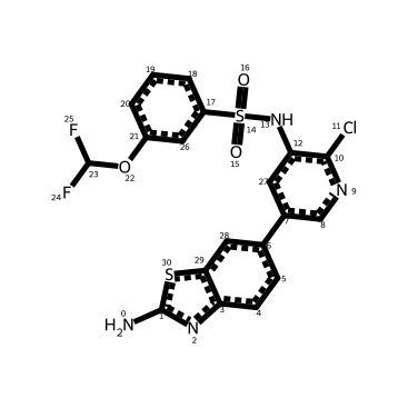 Nc1nc2ccc(-c3cnc(Cl)c(NS(=O)(=O)c4cccc(OC(F)F)c4)c3)cc2s1